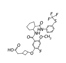 COc1cc(F)c(OC2CC(CC(=O)O)C2)cc1C(=O)NC1CCCCC1C(=O)Nc1cccc(SC(F)(F)F)c1